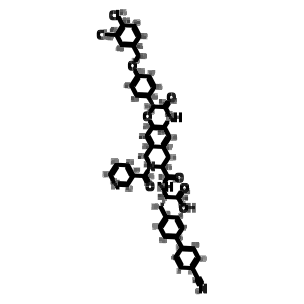 N#Cc1ccc(-c2ccc(C[C@H](NC(=O)C3Cc4cc5c(cc4CN3C(=O)c3cccnc3)O[C@@H](c3ccc(OCc4ccc(Cl)c(Cl)c4)cc3)C(=O)N5)C(=O)O)cc2)cc1